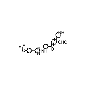 O=CC1CN(C(=O)c2cccc(Nc3ncc(-c4ccc(OC(F)F)cc4)cn3)c2)CCN1C1CCNCC1